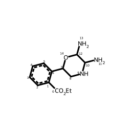 CCOC(=O)c1ccccc1C1CNC(N)C(N)O1